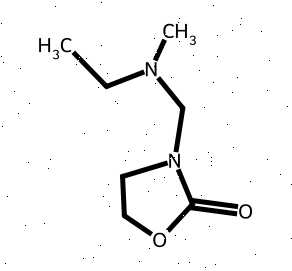 CCN(C)CN1CCOC1=O